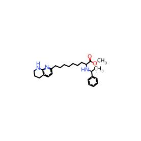 COC(=O)C(CCCCCCCc1ccc2c(n1)NCCC2)NC(C)c1ccccc1